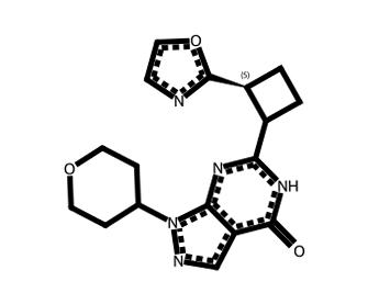 O=c1[nH]c(C2CC[C@@H]2c2ncco2)nc2c1cnn2C1CCOCC1